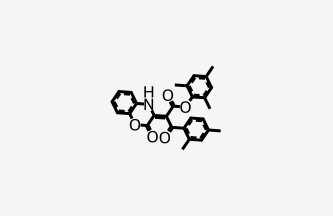 Cc1ccc(C(=O)C(C(=O)Oc2c(C)cc(C)cc2C)=C2Nc3ccccc3OC2=O)c(C)c1